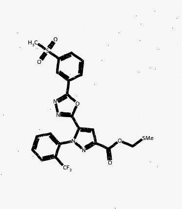 CSCOC(=O)c1cc(-c2nnc(-c3cccc(S(C)(=O)=O)c3)o2)n(-c2ccccc2C(F)(F)F)n1